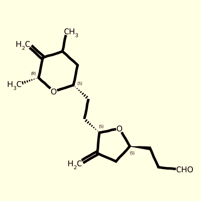 C=C1C[C@H](CCC=O)O[C@H]1CC[C@H]1CC(C)C(=C)[C@@H](C)O1